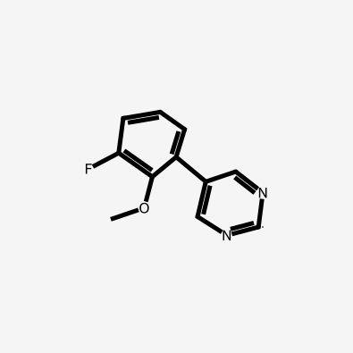 COc1c(F)cccc1-c1cn[c]nc1